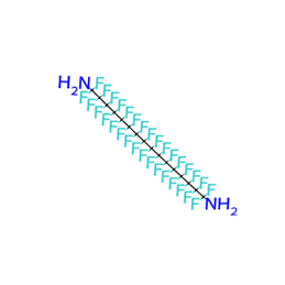 NC(F)(F)C(F)(F)C(F)(F)C(F)(F)C(F)(F)C(F)(F)C(F)(F)C(F)(F)C(F)(F)C(F)(F)C(F)(F)C(F)(F)C(F)(F)C(F)(F)C(F)(F)C(N)(F)F